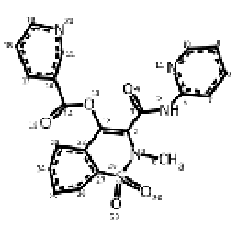 CN1C(C(=O)Nc2ccccn2)=C(OC(=O)c2cccnc2)c2ccccc2S1(=O)=O